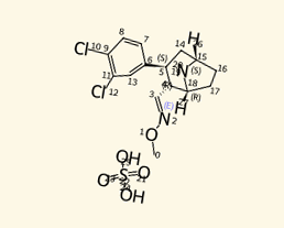 CO/N=C/[C@@H]1[C@@H](c2ccc(Cl)c(Cl)c2)C[C@@H]2CC[C@H]1N2C.O=S(=O)(O)O